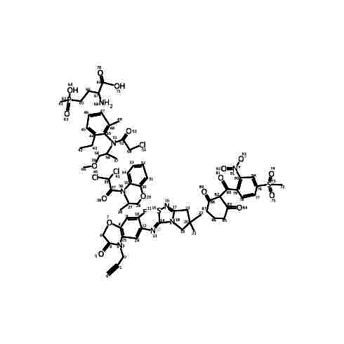 C#CCN1C(=O)COc2cc(F)c(/N=c3\snc4n3CC(C)(C)C4)cc21.CC1COc2ccccc2N1C(=O)C(Cl)Cl.CCc1cccc(C)c1N(C(=O)CCl)C(C)COC.CP(=O)(O)CCC(N)C(=O)O.CS(=O)(=O)c1ccc(C(=O)C2C(=O)CCCC2=O)c([N+](=O)[O-])c1